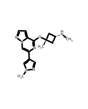 CN[C@H]1C[C@@](C)(Oc2nc(-c3cnn(C)c3)cn3nccc23)C1